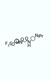 CC(C)N(C)[C@H]1CC[C@H](NC(=O)CC(=O)Nc2cccc(OC(F)(F)F)c2)CC1